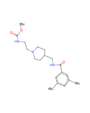 CC(C)(C)OC(=O)NCCN1CCC(CNC(=O)c2cc(C(C)(C)C)cc(C(C)(C)C)c2)CC1